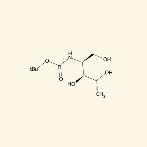 C[C@@H](O)[C@@H](O)[C@H](CO)NC(=O)OC(C)(C)C